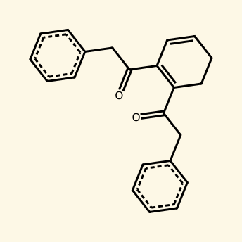 O=C(Cc1ccccc1)C1=C(C(=O)Cc2ccccc2)CCC=C1